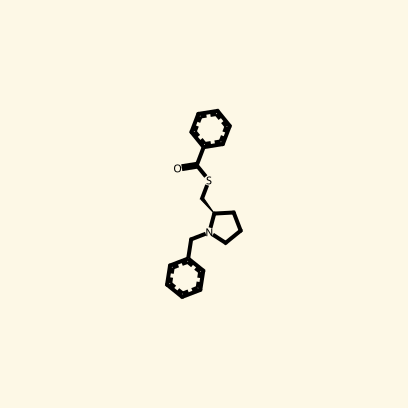 O=C(SC[C@H]1CCCN1Cc1ccccc1)c1ccccc1